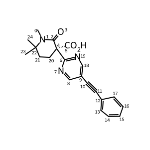 CN1C(=O)[C@@](C(=O)O)(c2ncc(C#Cc3ccccc3)cn2)CCC1(C)C